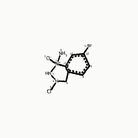 N[N+]1([O-])NN(Cl)Cc2ccc(Br)cc21